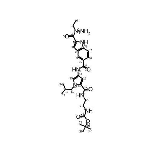 CCN(N)C(=O)c1cc2cc(C(=O)Nc3cc(C(=O)NCCNC(=O)OC(C)(C)C)n(CC(C)C)c3)ccc2[nH]1